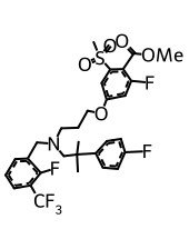 COC(=O)c1c(F)cc(OCCCN(Cc2cccc(C(F)(F)F)c2F)CC(C)(C)c2ccc(F)cc2)cc1S(C)(=O)=O